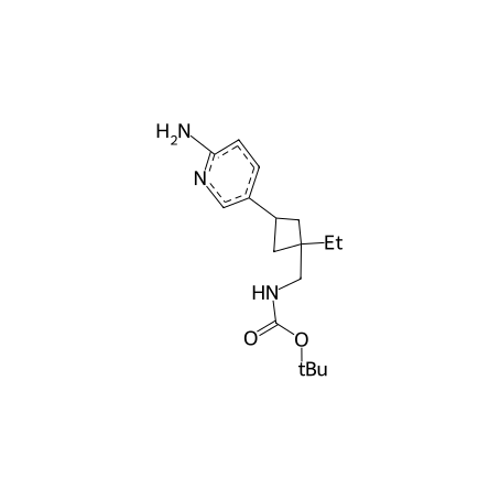 CCC1(CNC(=O)OC(C)(C)C)CC(c2ccc(N)nc2)C1